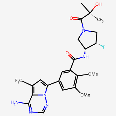 COc1cc(-c2cc(C(F)(F)F)c3c(N)ncnn23)cc(C(=O)N[C@@H]2CN(C(=O)[C@@](C)(O)C(F)(F)F)C[C@@H]2F)c1OC